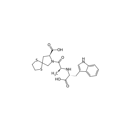 C[C@H](N[C@H](Cc1c[nH]c2ccccc12)C(=O)O)C(=O)N1CC2(C[C@H]1C(=O)O)SCCS2